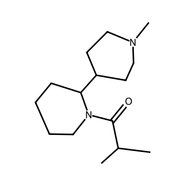 CC(C)C(=O)N1CCCCC1C1CCN(C)CC1